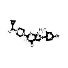 Cc1cc(Br)ccc1-n1cc2c(=O)[nH]c(N3CCN(C(=O)C4CC4)CC3)nc2n1